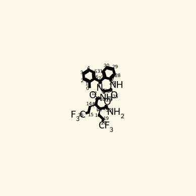 Cc1ccccc1C1=N[C@H](NC(=O)[C@H](CCC(F)(F)F)[C@H](CCC(F)(F)F)C(N)=O)C(=O)Nc2ccccc21